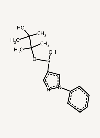 CC(C)(O)C(C)(C)OB(O)c1cnn(-c2ccccc2)c1